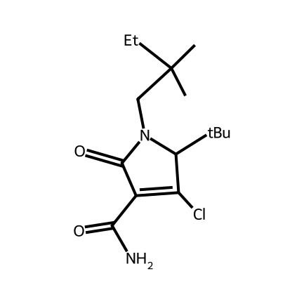 CCC(C)(C)CN1C(=O)C(C(N)=O)=C(Cl)C1C(C)(C)C